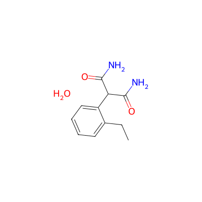 CCc1ccccc1C(C(N)=O)C(N)=O.O